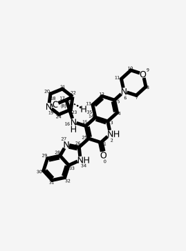 O=c1[nH]c2cc(N3CCOCC3)ccc2c(N[C@H]2CN3CCC2CC3)c1-c1nc2ccccc2[nH]1